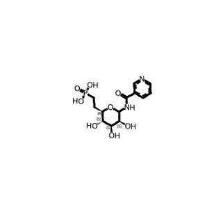 O=C(NC1O[C@H](CCP(=O)(O)O)[C@@H](O)[C@H](O)[C@@H]1O)c1cccnc1